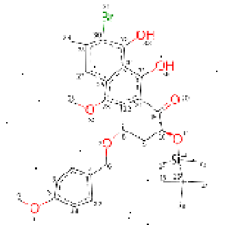 COc1ccc(CO[C@H]2C[C@H](O[Si](C)(C)C(C)(C)C)C(=O)c3c2c(OC)c2cc(C)c(Br)c(O)c2c3O)cc1